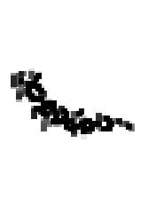 C/C=C/CCC1CCC(c2cc(F)c(C(F)(F)Oc3ccc(-c4ccc(-c5cc(F)c(C#N)c(F)c5)c(F)c4)c(F)c3)c(F)c2)CC1